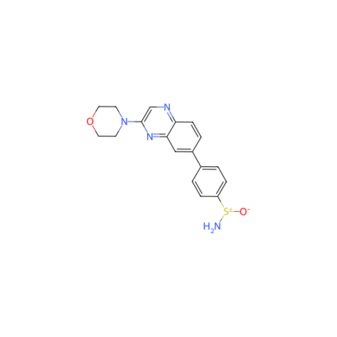 N[S+]([O-])c1ccc(-c2ccc3ncc(N4CCOCC4)nc3c2)cc1